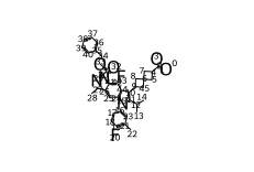 COC(=O)C1CC2(C1)CC(c1c(C(C)C)n(-c3ccc(F)c(C)c3)c3cc4c(C)nn(C(=O)OCc5ccccc5)c4c(F)c13)C2